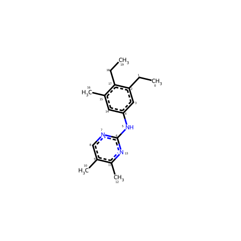 CCc1cc(Nc2ncc(C)c(C)n2)cc(C)c1CC